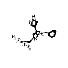 CC(C)C#Cc1cc2c(-c3cn[nH]c3)cn(SCc3ccccc3)c2cn1